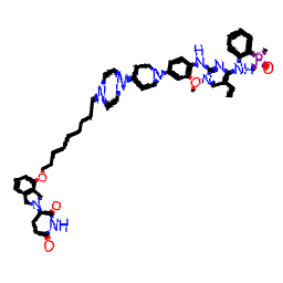 C=Cc1cnc(Nc2ccc(N3CCC(N4CCN(CCCCCCCCCOc5cccc6c5CN(C5CCC(=O)NC5=O)C6)CC4)CC3)cc2OC)nc1Nc1ccccc1P(C)(C)=O